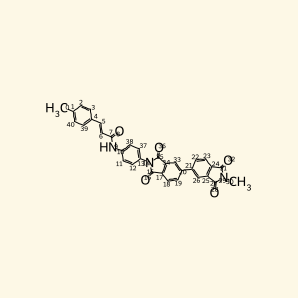 Cc1ccc(/C=C/C(=O)Nc2ccc(N3C(=O)c4ccc(-c5ccc6c(c5)C(=O)N(C)C6=O)cc4C3=O)cc2)cc1